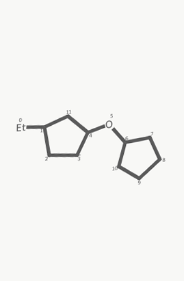 [CH2]CC1C[CH]C(OC2CCCC2)C1